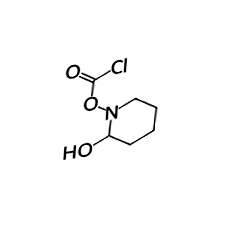 O=C(Cl)ON1CCCCC1O